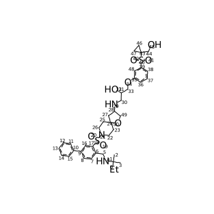 CCC(C)(C)NCc1ccc(-c2ccccc2)cc1S(=O)(=O)N1CCC2(CC1)CC(NCC(O)COc1cccc(S(=O)(=O)C3(CO)CC3)c1)CO2